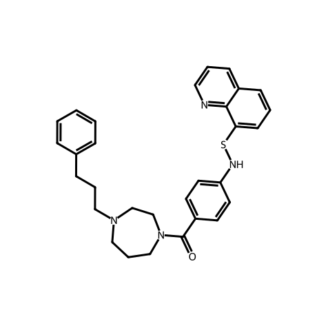 O=C(c1ccc(NSc2cccc3cccnc23)cc1)N1CCCN(CCCc2ccccc2)CC1